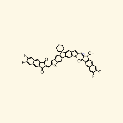 O=C1C(=Cc2cc3cc4c(cc3s2)-c2cc3sc(/C=C5\C(=O)c6cc7cc(F)c(F)cc7cc6C5O)cc3cc2C42CCCCC2)C(=O)c2cc3cc(F)c(F)cc3cc21